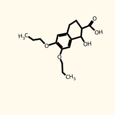 CCCOc1cc2c(cc1OCCC)C(O)C(C(=O)O)CC2